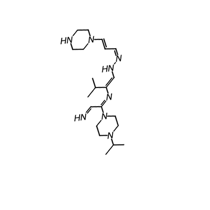 CC(C)C(=C\N/N=C\C=C\N1CCNCC1)/N=C(\C=N)N1CCN(C(C)C)CC1